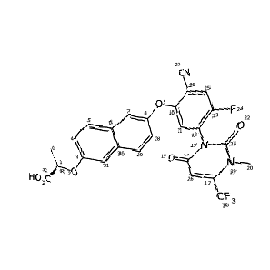 C[C@@H](Oc1ccc2cc(Oc3cc(-n4c(=O)cc(C(F)(F)F)n(C)c4=O)c(F)cc3C#N)ccc2c1)C(=O)O